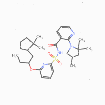 CCC(CC1CCCC1(C)C)Oc1cccc(S(=O)(=O)NC(=O)c2cccnc2N2CC(C)CC2(C)C)n1